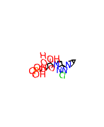 O=P(O)(O)COCC1O[C@@H](n2ccc3c(N4CC5CC5C4)nc(Cl)nc32)[C@H](O)[C@@H]1O